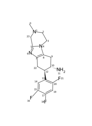 CN1CCn2c(nc3c2C[C@H](N)[C@@H](c2cc(F)c(F)cc2F)C3)C1